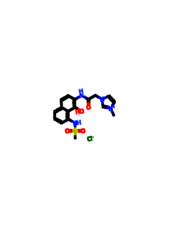 C[n+]1ccn(CC(=O)Nc2ccc3cccc(NS(C)(=O)=O)c3c2O)c1.[Cl-]